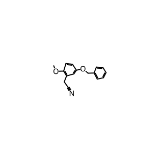 COc1ccc(OCc2ccccc2)cc1CC#N